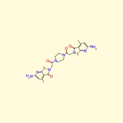 Cc1cc(N)nc2sn(CC(=O)N3CCN(C(=O)Cn4sc5nc(N)cc(C)c5c4=O)CC3)c(=O)c12